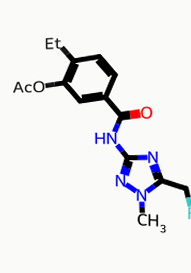 CCc1ccc(C(=O)Nc2nc(CF)n(C)n2)cc1OC(C)=O